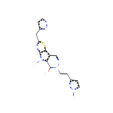 Cn1ccc(CCN2N=Cc3c(n(C)c4nc(Cc5cc[nH]n5)sc34)C2O)n1